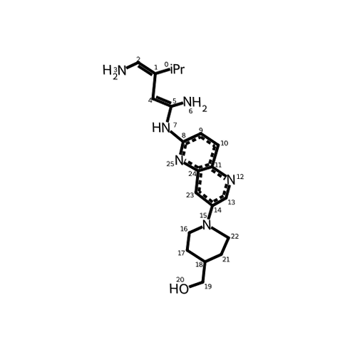 CC(C)C(=C/N)/C=C(\N)Nc1ccc2ncc(N3CCC(CO)CC3)cc2n1